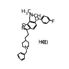 CN(C)Cc1c(Oc2ccc(F)cc2)ccc2c(CCC3CCN(Cc4ccccc4)CC3)noc12.Cl.Cl